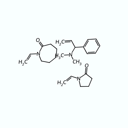 C=CC(c1ccccc1)N(C)C.C=CN1CCCC1=O.C=CN1CCCCCC1=O